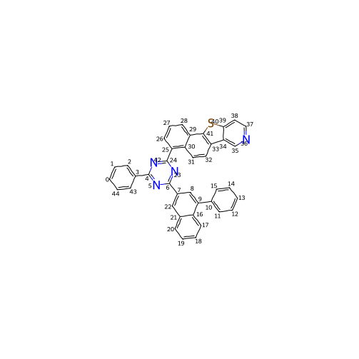 c1ccc(-c2nc(-c3cc(-c4ccccc4)c4ccccc4c3)nc(-c3cccc4c3ccc3c5cnccc5sc43)n2)cc1